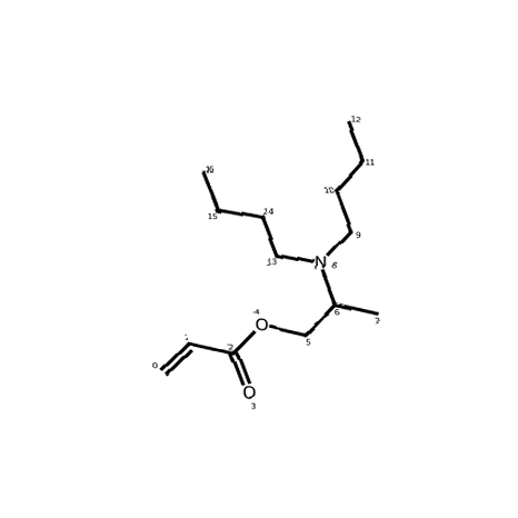 C=CC(=O)OCC(C)N(CCCC)CCCC